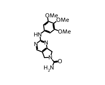 COc1cc(Nc2ncc3c(n2)CN(C(N)=O)C3)cc(OC)c1OC